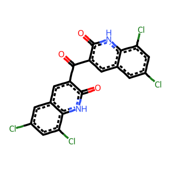 O=C(c1cc2cc(Cl)cc(Cl)c2[nH]c1=O)c1cc2cc(Cl)cc(Cl)c2[nH]c1=O